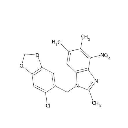 Cc1cc2c(nc(C)n2Cc2cc3c(cc2Cl)OCO3)c([N+](=O)[O-])c1C